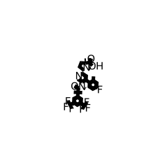 Cc1cc(F)ccc1-c1cc([C@@H]2CC[C@](C)(C(=O)O)N2C)ncc1N(C)C(=O)C(C)(C)c1cc(C(F)(F)F)cc(C(F)(F)F)c1